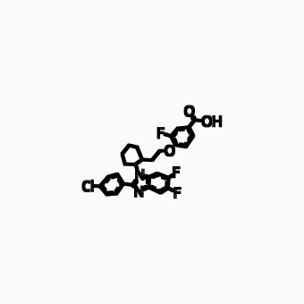 O=C(O)c1ccc(OCCC2CCCCC2n2c(-c3ccc(Cl)cc3)nc3cc(F)c(F)cc32)c(F)c1